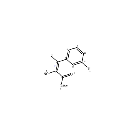 COC(=O)/C(C#N)=C(/C)c1cccc(Br)c1